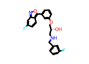 O[C@H](CNCc1cccc(F)c1)COc1cccc(-c2onc3cc(F)ccc23)c1